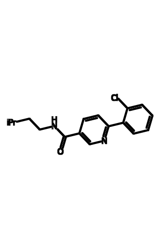 CC(C)CCNC(=O)c1ccc(-c2ccccc2Cl)nc1